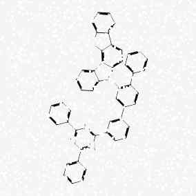 c1ccc(-c2nc(-c3ccccc3)nc(-c3cccc(-c4ccc(-c5ccccc5)c(-n5c6ccccc6c6c7sc8ccccc8c7ccc65)c4)c3)n2)cc1